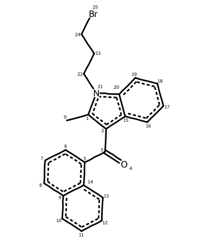 Cc1c(C(=O)c2cccc3ccccc23)c2ccccc2n1CCCBr